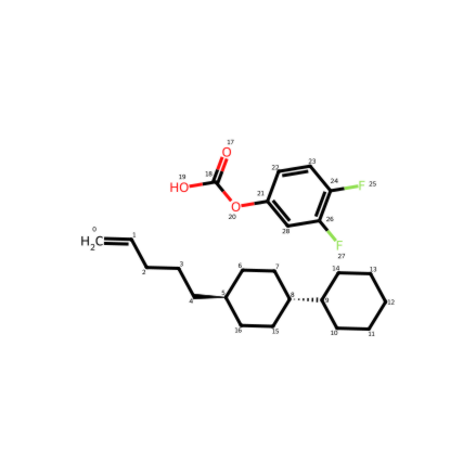 C=CCCC[C@H]1CC[C@H](C2CCCCC2)CC1.O=C(O)Oc1ccc(F)c(F)c1